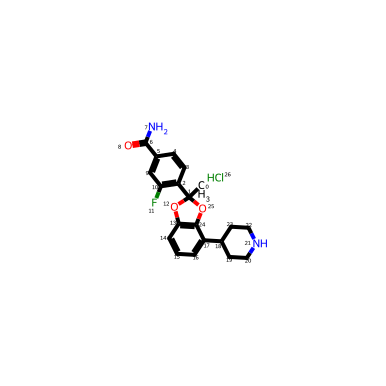 CC1(c2ccc(C(N)=O)cc2F)Oc2cccc(C3CCNCC3)c2O1.Cl